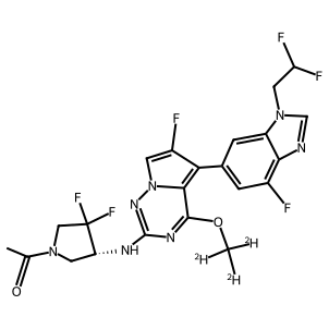 [2H]C([2H])([2H])Oc1nc(N[C@@H]2CN(C(C)=O)CC2(F)F)nn2cc(F)c(-c3cc(F)c4ncn(CC(F)F)c4c3)c12